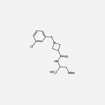 CNCC(NC(=O)C1CN(Sc2cccc(Cl)c2)C1)C(=O)O